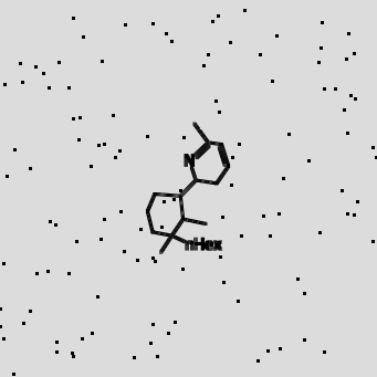 CCCCCCC1(C)CCCC(C2CC=CC(C)=N2)C1C